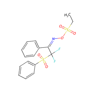 CCS(=O)(=O)ON=C(c1ccccc1)C(F)(F)S(=O)(=O)c1ccccc1